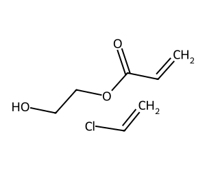 C=CC(=O)OCCO.C=CCl